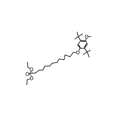 CCOP(=O)(CCCCCCCCCCCCOc1cc(C(C)(C)C)c(OC)cc1C(C)(C)C)OCC